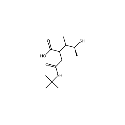 CC(C(CC(=O)NC(C)(C)C)C(=O)O)[C@H](C)S